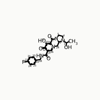 CC(O)N1CCN2C(=O)c3c(O)c(=O)c(C(=O)NCc4ccc(F)cc4)cn3CC21